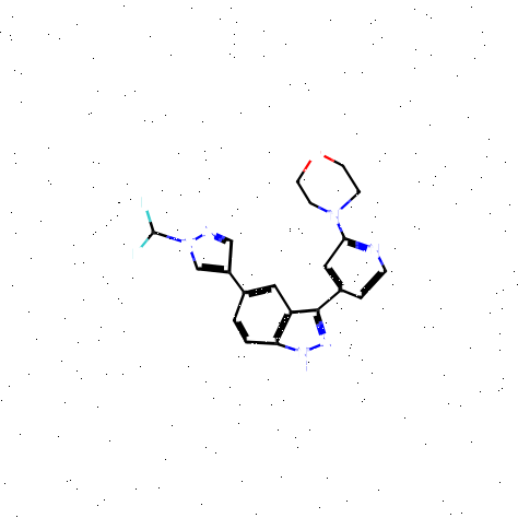 FC(F)n1cc(-c2ccc3[nH]nc(-c4ccnc(N5CCOCC5)c4)c3c2)cn1